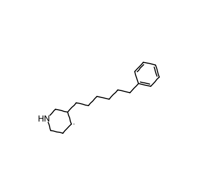 [CH]1CCNCC1CCCCCCc1ccccc1